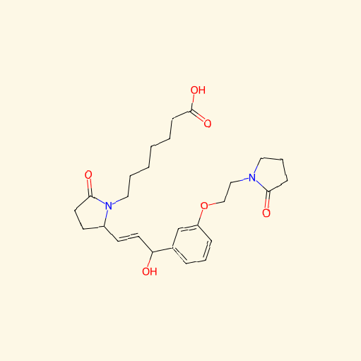 O=C(O)CCCCCCN1C(=O)CCC1C=CC(O)c1cccc(OCCN2CCCC2=O)c1